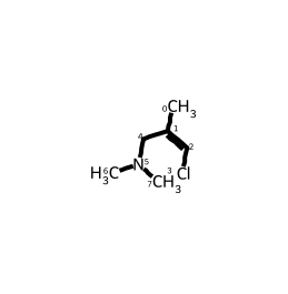 CC(=CCl)CN(C)C